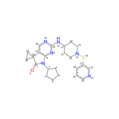 O=C1N(C2CCCC2)c2nc(NC3CCN(Sc4cccnc4)CC3)ncc2C12CC2